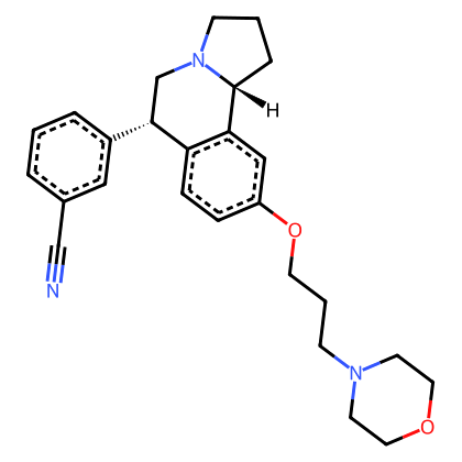 N#Cc1cccc([C@@H]2CN3CCC[C@@H]3c3cc(OCCCN4CCOCC4)ccc32)c1